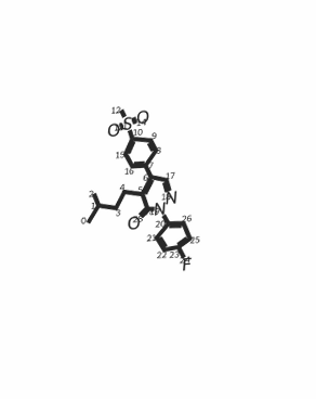 CC(C)CCc1c(-c2ccc(S(C)(=O)=O)cc2)cnn(-c2ccc(F)cc2)c1=O